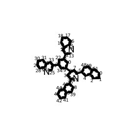 c1ccc2cc(-c3cc(-c4cc(-c5cnc6ccccc6c5)cc(-c5cnc6ccccc6c5)c4)cc(-c4ccc5ccccc5c4)n3)ccc2c1